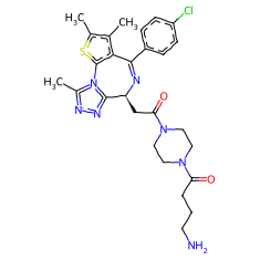 Cc1sc2c(c1C)C(c1ccc(Cl)cc1)=N[C@@H](CC(=O)N1CCN(C(=O)CCCN)CC1)c1nnc(C)n1-2